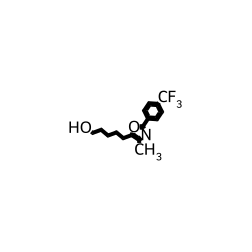 Cc1nc(-c2ccc(C(F)(F)F)cc2)oc1CCCCCO